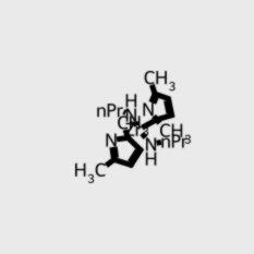 CCC[NH][Zr]([NH]CCC)([C]1(C)C=CC(C)=N1)[C]1(C)C=CC(C)=N1